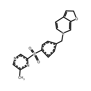 Cc1cncc(S(=O)(=O)c2ccc(CN3C=CC4=CCOC4=C3)cc2)n1